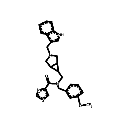 O=C(c1cscn1)N(Cc1cccc(OC(F)(F)F)c1)CC1C2CN(Cc3c[nH]c4ccccc34)CC21